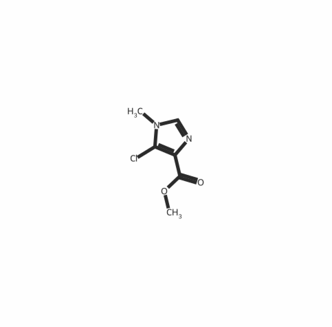 COC(=O)c1ncn(C)c1Cl